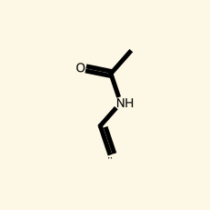 [C]=CNC(C)=O